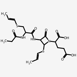 CC=CSCC(NC(=O)CC)C(=O)NC1C(=O)N(C(CCC(=O)O)C(=O)O)C1SC=CC